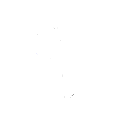 Nc1nccc(/C=C(/F)c2cnc(N3CCC4(CC3)Cc3ccccc3[C@H]4N)c(CO)n2)c1Cl